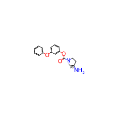 N[C@@H]1CCN(C(=O)Oc2cccc(Oc3ccccc3)c2)C1